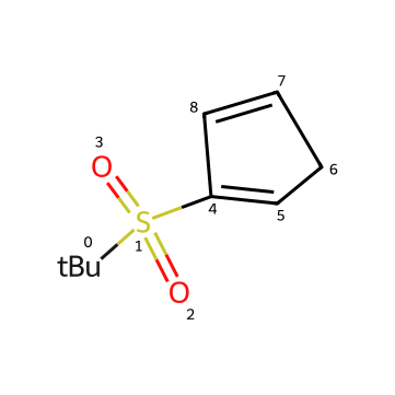 CC(C)(C)S(=O)(=O)C1=CCC=C1